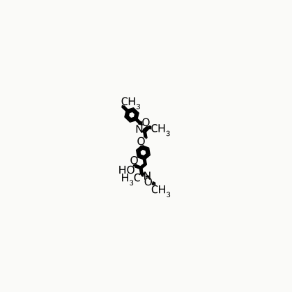 CCON=C(C)C(Cc1ccc(OCc2nc(-c3ccc(CC)cc3)oc2C)cc1)C(=O)O